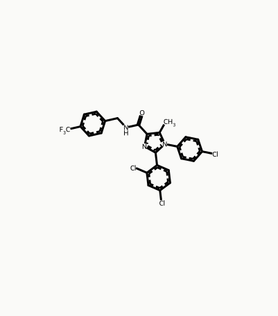 Cc1c(C(=O)NCc2ccc(C(F)(F)F)cc2)nc(-c2ccc(Cl)cc2Cl)n1-c1ccc(Cl)cc1